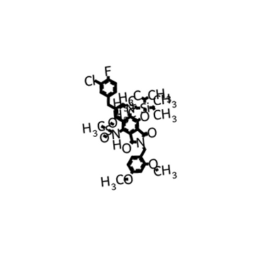 COc1ccc(CN2C(=O)c3c(c(O[Si](C(C)C)(C(C)C)C(C)C)c4ncc(Cc5ccc(F)c(Cl)c5)cc4c3NS(C)(=O)=O)C2=O)c(OC)c1